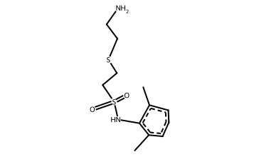 Cc1cccc(C)c1NS(=O)(=O)CCSCCN